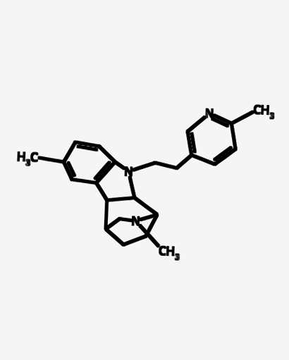 Cc1ccc2c(c1)C1C3CCC(C1N2CCc1ccc(C)nc1)N(C)C3